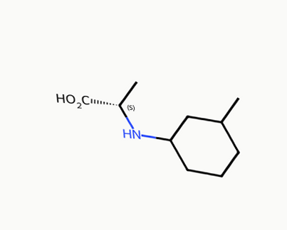 CC1CCCC(N[C@@H](C)C(=O)O)C1